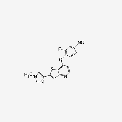 Cn1cnc(-c2cc3nccc(Oc4ccc(N=O)cc4F)c3s2)c1